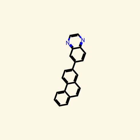 c1ccc2c(c1)ccc1cc(-c3ccc4nccnc4c3)ccc12